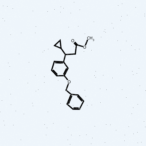 COC(=O)CC(c1cccc(OCc2ccccc2)c1)C1CC1